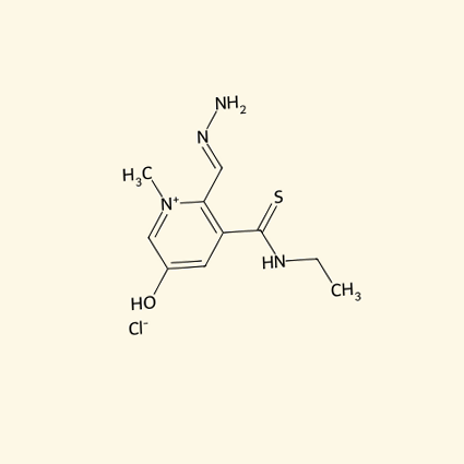 CCNC(=S)c1cc(O)c[n+](C)c1C=NN.[Cl-]